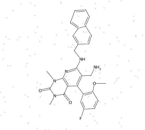 COc1ccc(F)cc1-c1c(CN)c(NCc2ccc3ccccc3c2)nc2c1c(=O)n(C)c(=O)n2C